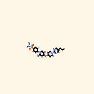 CCCc1cnc(N2CCC(Oc3ccn(-c4ccc(S(=O)(=O)N(C)C)cc4)c(=O)c3)CC2)nc1